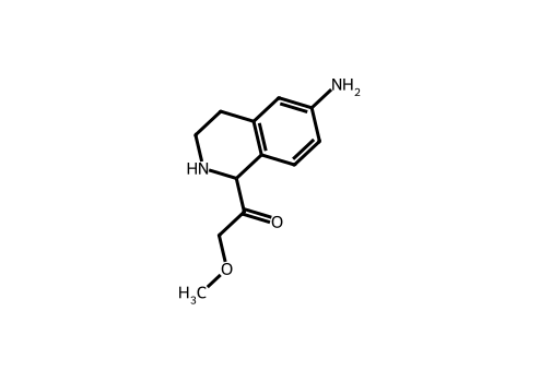 COCC(=O)C1NCCc2cc(N)ccc21